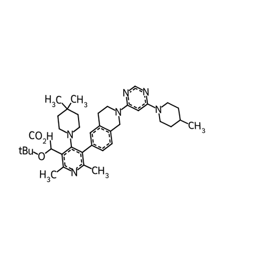 Cc1nc(C)c(C(OC(C)(C)C)C(=O)O)c(N2CCC(C)(C)CC2)c1-c1ccc2c(c1)CCN(c1cc(N3CCC(C)CC3)ncn1)C2